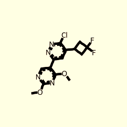 COc1ncc(-c2cc(C3CC(F)(F)C3)c(Cl)nn2)c(OC)n1